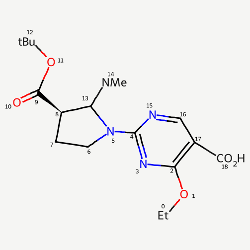 CCOc1nc(N2CC[C@@H](C(=O)OC(C)(C)C)C2NC)ncc1C(=O)O